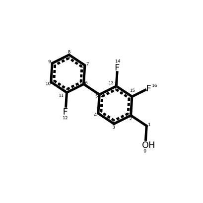 OCc1ccc(-c2ccccc2F)c(F)c1F